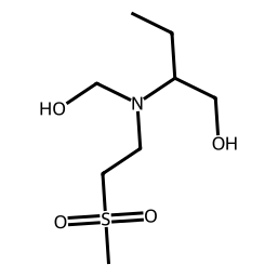 CCC(CO)N(CO)CCS(C)(=O)=O